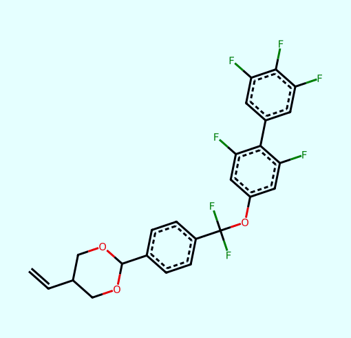 C=CC1COC(c2ccc(C(F)(F)Oc3cc(F)c(-c4cc(F)c(F)c(F)c4)c(F)c3)cc2)OC1